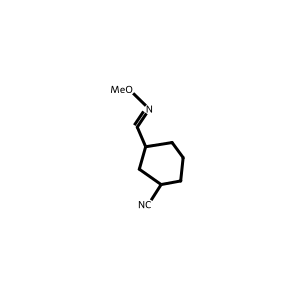 CON=CC1CCCC(C#N)C1